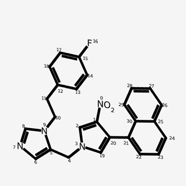 O=[N+]([O-])c1cn(Cc2cncn2CCc2ccc(F)cc2)cc1-c1cccc2ccccc12